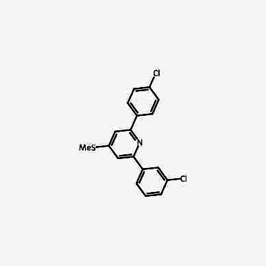 CSc1cc(-c2ccc(Cl)cc2)nc(-c2cccc(Cl)c2)c1